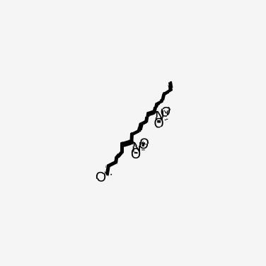 CCCCCC(=CCC=CCC(=CCCCC[C]=O)[N+](=O)[O-])[N+](=O)[O-]